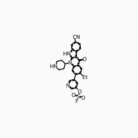 CCc1cc2c(=O)c3c4ccc(C#N)cc4[nH]c3n(C3CCNCC3)c2cc1-c1cncc(OS(=O)(=O)F)c1